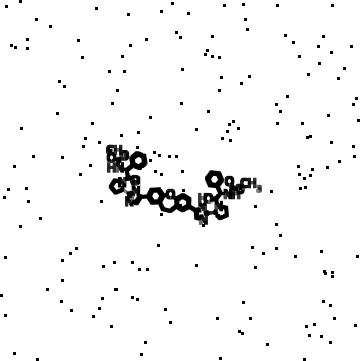 COC(=O)N[C@@H](C(=O)N1CCC[C@H]1c1ncc(-c2ccc3c(c2)CCc2cc(-c4cnc([C@@H]5CCCN5C(=O)[C@H](NC(=O)OC)c5ccccc5)[nH]4)ccc2O3)[nH]1)c1ccccc1